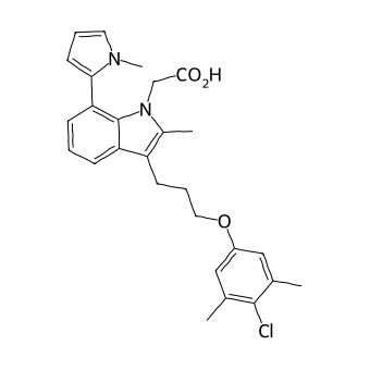 Cc1cc(OCCCc2c(C)n(CC(=O)O)c3c(-c4cccn4C)cccc23)cc(C)c1Cl